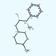 C[C@@H](CN1CCC(O)CC1)[C@@H](N)c1ccccc1